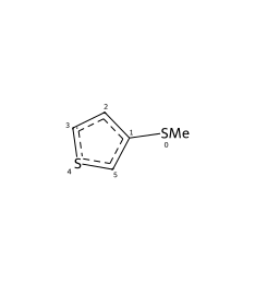 CSc1c[c]sc1